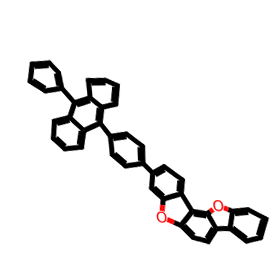 c1ccc(-c2c3ccccc3c(-c3ccc(-c4ccc5c(c4)oc4ccc6c7ccccc7oc6c45)cc3)c3ccccc23)cc1